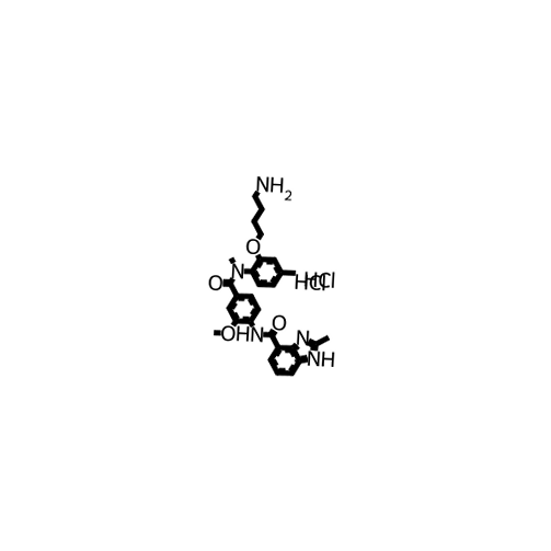 COc1cc(C(=O)N(C)c2ccc(C)cc2OCCCCN)ccc1NC(=O)c1cccc2[nH]c(C)nc12.Cl.Cl